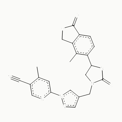 Cc1cc(-n2cc(CN3CC(c4ccc5c(c4C)COC5=O)NC3=O)cn2)ncc1C#N